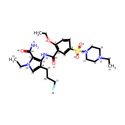 CCOc1ccc(S(=O)(=O)N2CCN(CC)CC2)cc1C(=O)Nc1c(CCCF)cn(CC)c1C(N)=O